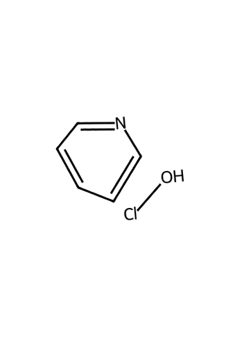 OCl.c1ccncc1